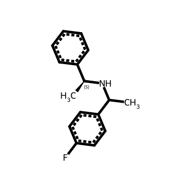 CC(N[C@@H](C)c1ccccc1)c1ccc(F)cc1